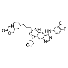 O=C(C=CCN1CCN2CC(=O)OCC2C1)Nc1cc2c(Nc3ccc(F)c(Cl)c3)ncnc2cc1OC1CCOC1